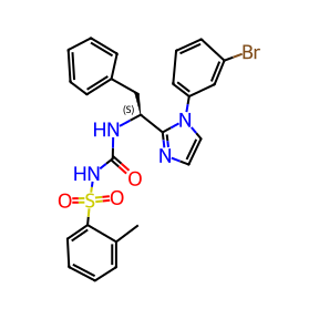 Cc1ccccc1S(=O)(=O)NC(=O)N[C@@H](Cc1ccccc1)c1nccn1-c1cccc(Br)c1